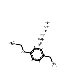 CCCCCCCCCCOc1ccc(CN)cc1.[Al+3].[H-].[H-].[H-].[H-].[Li+]